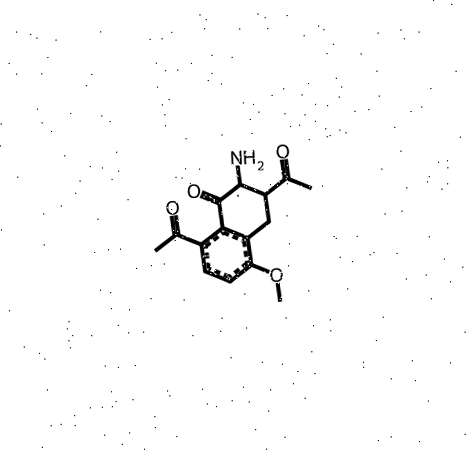 COc1ccc(C(C)=O)c2c1CC(C(C)=O)C(N)C2=O